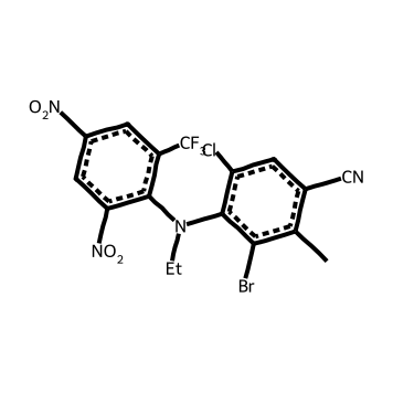 CCN(c1c([N+](=O)[O-])cc([N+](=O)[O-])cc1C(F)(F)F)c1c(Cl)cc(C#N)c(C)c1Br